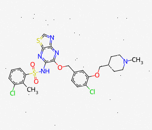 Cc1c(Cl)cccc1S(=O)(=O)Nc1nc2scnc2nc1OCc1ccc(Cl)c(OCC2CCN(C)CC2)c1